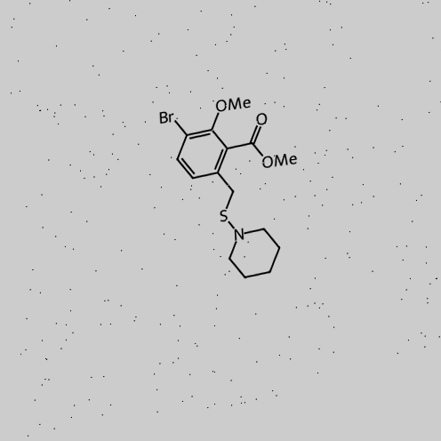 COC(=O)c1c(CSN2CCCCC2)ccc(Br)c1OC